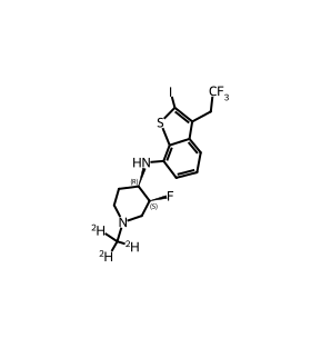 [2H]C([2H])([2H])N1CC[C@@H](Nc2cccc3c(CC(F)(F)F)c(I)sc23)[C@@H](F)C1